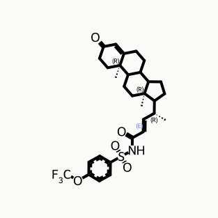 C[C@H](/C=C/C(=O)NS(=O)(=O)c1ccc(OC(F)(F)F)cc1)C1CCC2C3CCC4=CC(=O)CC[C@]4(C)C3CC[C@@]21C